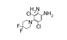 Nc1cc(Cl)c(N2CCC(F)(F)CC2)c(Cl)c1N